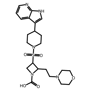 O=C(O)N1CC(S(=O)(=O)N2CCC(c3c[nH]c4ncccc34)CC2)C1CCN1CCOCC1